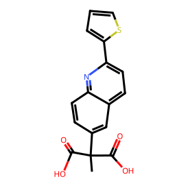 CC(C(=O)O)(C(=O)O)c1ccc2nc(-c3cccs3)ccc2c1